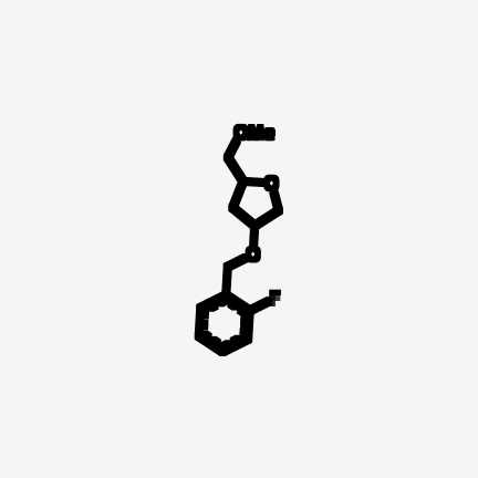 COCC1CC(OCc2ccccc2F)CO1